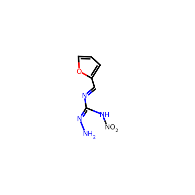 NN=C(N=Cc1ccco1)N[N+](=O)[O-]